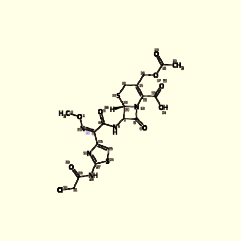 CO/N=C(\C(=O)NC1C(=O)N2C(C(=O)O)=C(COC(C)=O)CS[C@@H]12)c1csc(NC(=O)CCl)n1